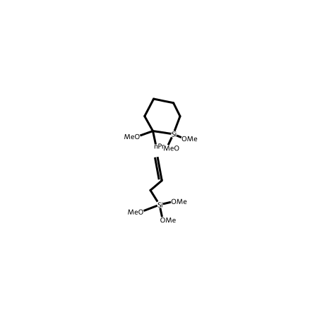 C=CC[Si](OC)(OC)OC.CCCC1(OC)CCCC[Si]1(OC)OC